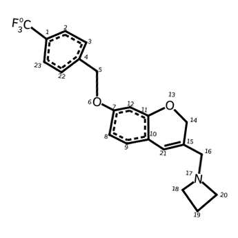 FC(F)(F)c1ccc(COc2ccc3c(c2)OCC(CN2CCC2)=C3)cc1